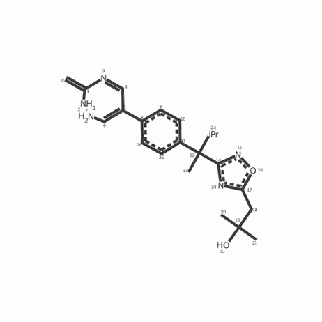 C=C(N)/N=C\C(=C/N)c1ccc(C(C)(c2noc(CC(C)(C)O)n2)C(C)C)cc1